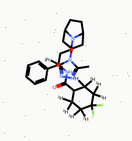 [2H]C1([2H])C(C(=O)NC(CCN2C3CCC2CC(n2c(C)nnc2C(C)C)C3)c2ccccc2)C([2H])([2H])C([2H])([2H])C(F)(F)C1([2H])[2H]